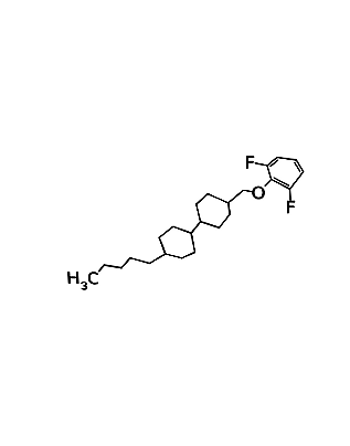 CCCCCC1CCC(C2CCC(COc3c(F)cccc3F)CC2)CC1